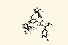 Cc1cc([C@@H](NC(=O)c2cc(Cn3ccn(C)c3=N)cc(-c3ncc(F)cc3C(F)(F)F)c2)C2CC2)ccc1F